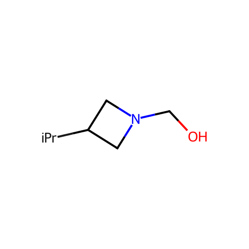 CC(C)C1CN(CO)C1